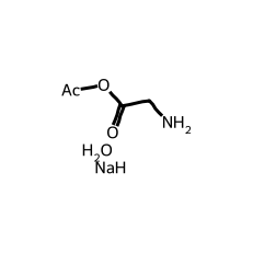 CC(=O)OC(=O)CN.O.[NaH]